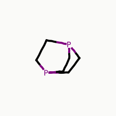 C1CP2CCP1CC2